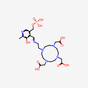 Cc1ncc(COP(=O)(O)O)c(/C=N/CCN2CCN(CC(=O)O)CCN(CC(=O)O)CCN(CC(=O)O)CC2)c1O